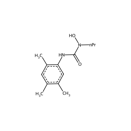 CCCN(O)C(=O)Nc1cc(C)c(C)cc1C